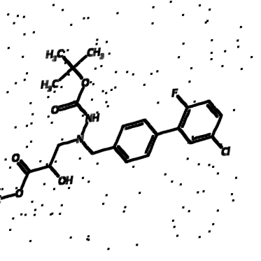 COC(=O)C(O)CN(Cc1ccc(-c2cc(Cl)ccc2F)cc1)NC(=O)OC(C)(C)C